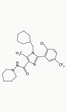 Cc1c(C(=O)NN2CCCCC2)nc(-c2cc(C(F)(F)F)ccc2Cl)n1CC1CCCCC1